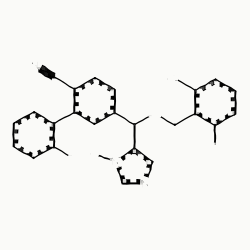 Cc1ccccc1-c1cc(C(OCc2c(Cl)cccc2Cl)c2cncn2C)ccc1C#N